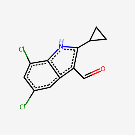 O=Cc1c(C2CC2)[nH]c2c(Cl)cc(Cl)cc12